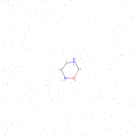 C1CNCO[N]1